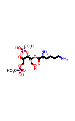 NCCCC[C@H](N)C(=O)O[C@H](CO)[C@@H](OP(=O)(O)C(=O)O)C(=O)COP(=O)(O)C(=O)O